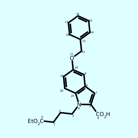 CCOC(=O)CCCn1c(C(=O)O)cc2cc(OCc3ccccc3)ccc21